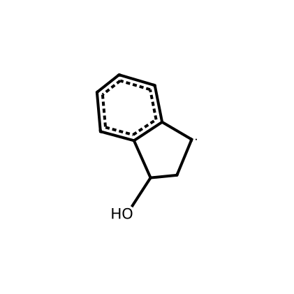 OC1C[CH]c2ccccc21